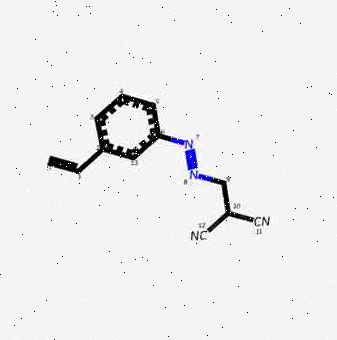 C=Cc1cccc(N=NCC(C#N)C#N)c1